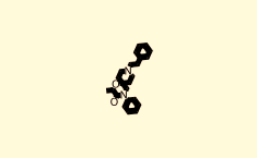 CC1OC2(CCN(CCc3ccccc3)CC2)CN(c2ccccc2)C1=O